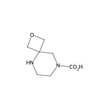 O=C(O)N1CCNC2(COC2)C1